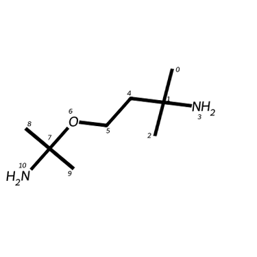 CC(C)(N)CCOC(C)(C)N